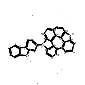 c1ccc2c(c1)oc1cc(-n3c4cccc5c4c4c6c(ccc7sc8cccc-5c8c76)ccc43)ccc12